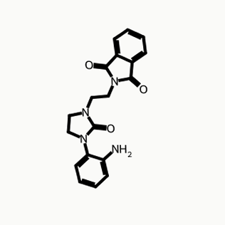 Nc1ccccc1N1CCN(CCN2C(=O)c3ccccc3C2=O)C1=O